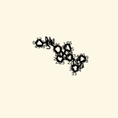 c1ccc(-c2nnc(-c3ccc(C(c4ccccc4)(c4ccccc4)c4ccc(N5c6ccccc6Oc6ccccc65)cc4)cc3)s2)cc1